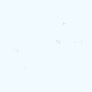 CC(C)(C)CC(C)(C)C(=O)c1ccc2cc(N(CCO)CCO)ccc2c1